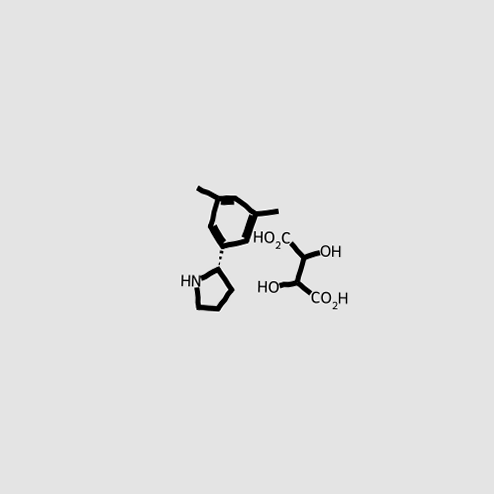 Cc1cc(C)cc([C@@H]2CCCN2)c1.O=C(O)C(O)C(O)C(=O)O